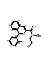 CCC(C)N(CCF)C(=O)c1cc2ccccc2c(-c2ccccc2Cl)n1